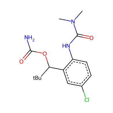 CN(C)C(=O)Nc1ccc(Cl)cc1C(OC(N)=O)C(C)(C)C